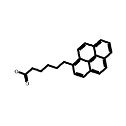 [O]C(=O)CCCCCc1ccc2ccc3cccc4ccc1c2c34